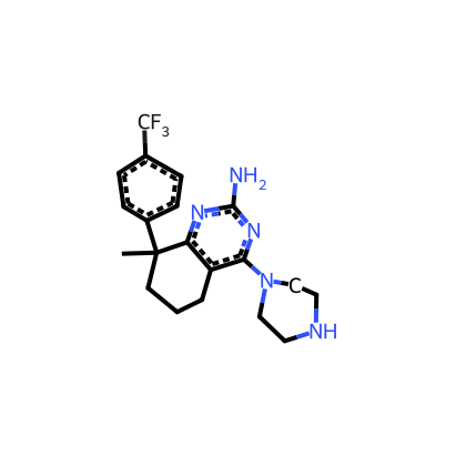 CC1(c2ccc(C(F)(F)F)cc2)CCCc2c(N3CCNCC3)nc(N)nc21